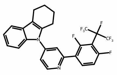 Fc1ccc(-c2cc(-n3c4c(c5ccccc53)CCCC4)ccn2)c(F)c1C(F)(C(F)(F)F)C(F)(F)F